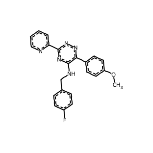 COc1ccc(-c2nnc(-c3ccccn3)nc2NCc2ccc(F)cc2)cc1